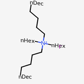 CCCCCCCCCCCCCC[N+](CCCCCC)(CCCCCC)CCCCCCCCCCCCCC.[I-]